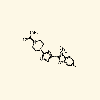 Cn1c(-c2noc(N3CCN(C(=O)O)CC3)n2)nc2cc(F)ccc21